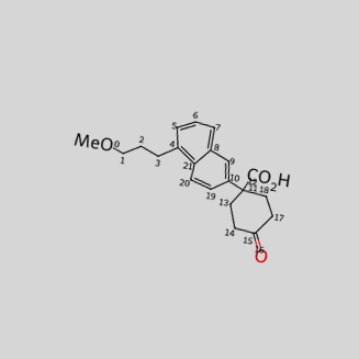 COCCCc1cccc2cc(C3(C(=O)O)CCC(=O)CC3)ccc12